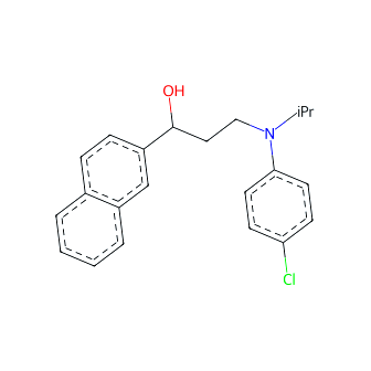 CC(C)N(CCC(O)c1ccc2ccccc2c1)c1ccc(Cl)cc1